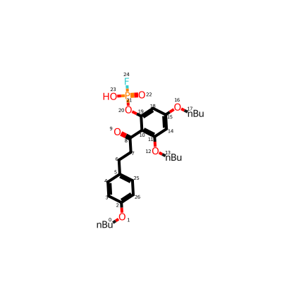 CCCCOc1ccc(CCC(=O)c2c(OCCCC)cc(OCCCC)cc2OP(=O)(O)F)cc1